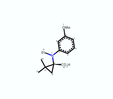 CCN(c1cccc(OC)c1)[C@]1(C(=O)O)CC1(C)C